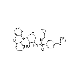 O=S(=NCC1CC1)(N[C@@H]1COC[C@H](N2c3ccccc3Oc3ccccc32)[C@@H]1O)c1ccc(OC(F)(F)F)cc1